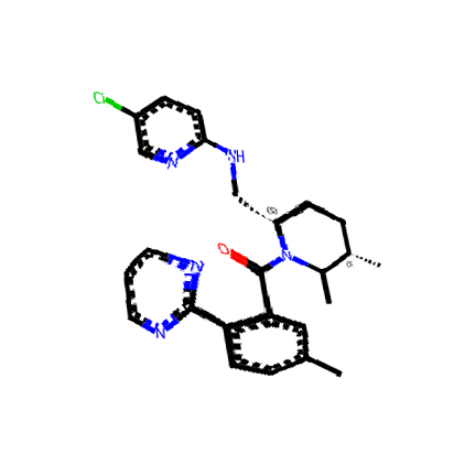 Cc1ccc(-c2ncccn2)c(C(=O)N2C(C)[C@@H](C)CC[C@H]2CNc2ccc(Cl)cn2)c1